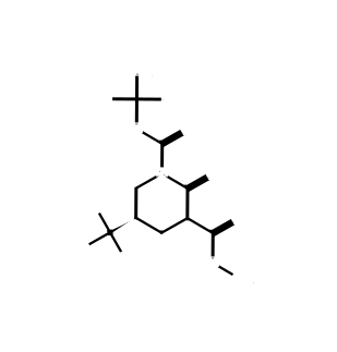 COC(=O)C1C[C@@H](C(F)(F)F)CN(C(=O)OC(C)(C)C)C1=O